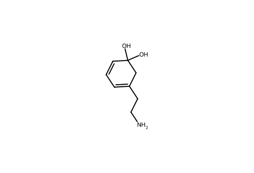 NCCC1=CC=CC(O)(O)C1